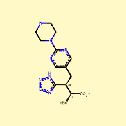 CCCC[C@H](C(=O)O)[C@H](Cc1cnc(N2CCNCC2)nc1)c1nnn[nH]1